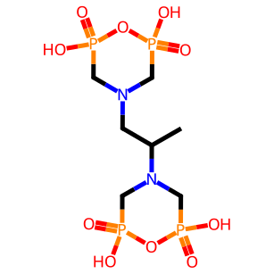 CC(CN1CP(=O)(O)OP(=O)(O)C1)N1CP(=O)(O)OP(=O)(O)C1